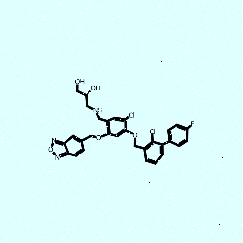 OC[C@@H](O)CNCc1cc(Cl)c(OCc2cccc(-c3ccc(F)cc3)c2Cl)cc1OCc1ccc2nonc2c1